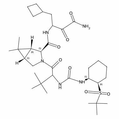 CC(C)(C)C(NC(=O)N[C@H]1CCCC[C@H]1S(=O)(=O)C(C)(C)C)C(=O)N1C[C@H]2[C@@H]([C@H]1C(=O)NC(CC1CCC1)C(=O)C(N)=O)C2(C)C